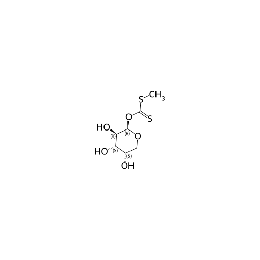 CSC(=S)O[C@H]1OC[C@H](O)[C@H](O)[C@H]1O